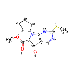 COC(=O)C1C(=O)c2cnc(SC)nc2N1C1CCCC1